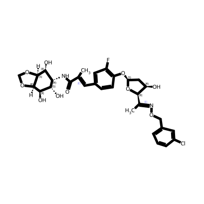 C/C(=C\c1ccc(O[C@H]2C[C@@H](O)[C@@H](/C(C)=N/OCc3cccc(Cl)c3)O2)c(F)c1)C(=O)N[C@@H]1[C@H](O)[C@@H](O)[C@H]2OCO[C@H]2[C@@H]1O